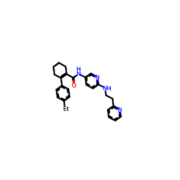 CCc1ccc(C2=C(C(=O)Nc3ccc(NCCc4ccccn4)nc3)CCCC2)cc1